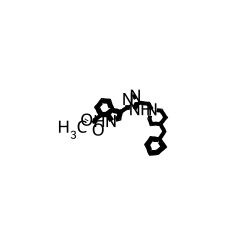 COC(=O)c1cccc2c(-c3nnc(CN4CCC(Cc5ccccc5)CC4)[nH]3)c[nH]c12